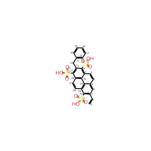 C=Cc1cc2ccc3c(S(=O)(=O)O)c(Cc4ccccc4)c(S(=O)(=O)O)c4ccc(c1S(=O)(=O)O)c2c34